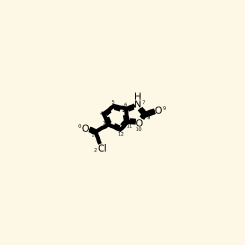 O=C(Cl)c1ccc2[nH]c(=O)oc2c1